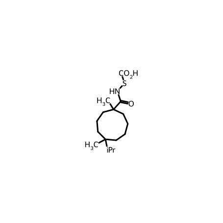 CC(C)C1(C)CCCCC(C)(C(=O)NSC(=O)O)CCC1